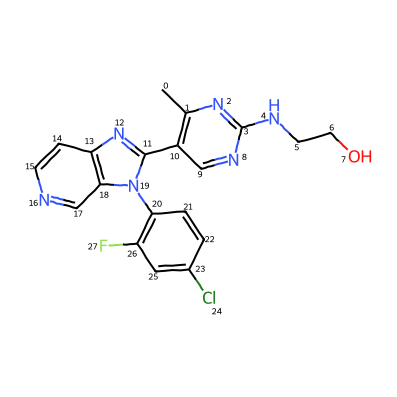 Cc1nc(NCCO)ncc1-c1nc2ccncc2n1-c1ccc(Cl)cc1F